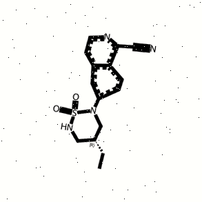 CC[C@@H]1CNS(=O)(=O)N(c2ccc3c(C#N)nccc3c2)C1